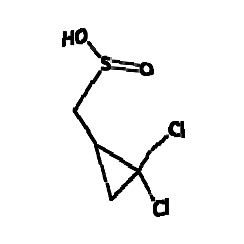 O=S(O)CC1CC1(Cl)Cl